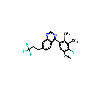 Cc1cc(-c2ncnc3cc(CCC(F)(F)F)ccc23)c(C)c(C)c1F